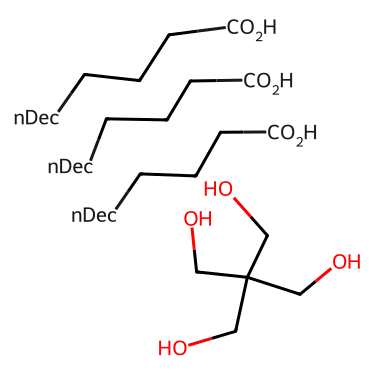 CCCCCCCCCCCCCC(=O)O.CCCCCCCCCCCCCC(=O)O.CCCCCCCCCCCCCC(=O)O.OCC(CO)(CO)CO